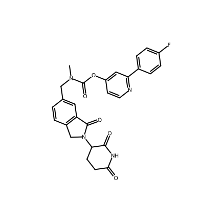 CN(Cc1ccc2c(c1)C(=O)N(C1CCC(=O)NC1=O)C2)C(=O)Oc1ccnc(-c2ccc(F)cc2)c1